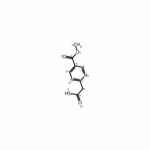 COC(=O)c1cnc(CC(=O)S)nc1